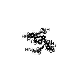 CC1(C)C(=CC=C2CCC(C=CC3=[N+](CCCCS(=O)(=O)O)c4ccc(S(=O)(=O)[O-])cc4C3(C)C)=C2c2cccc(C(=O)O)c2)N(CCCCS(=O)(=O)O)c2ccc(S(=O)(=O)O)cc21.[NaH]